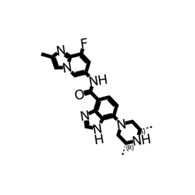 Cc1cn2cc(NC(=O)c3ccc(N4C[C@@H](C)N[C@@H](C)C4)c4[nH]cnc34)cc(F)c2n1